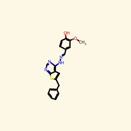 COc1cc(/C=N/Nc2ncnc3sc(Cc4ccccc4)cc23)ccc1O